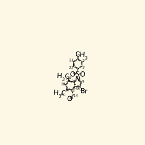 Cc1ccc(S(=O)(=O)n2cc(Br)c3c(C=O)c(C)cc(C)c32)cc1